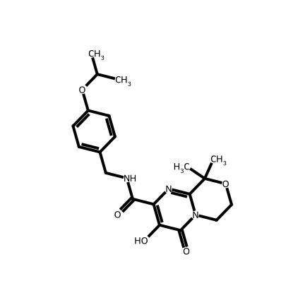 CC(C)Oc1ccc(CNC(=O)c2nc3n(c(=O)c2O)CCOC3(C)C)cc1